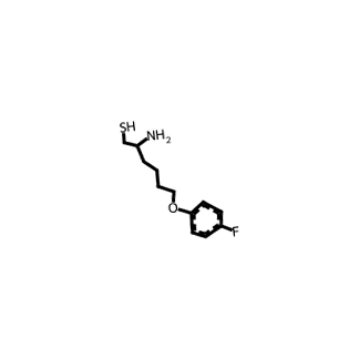 NC(CS)CCCCOc1ccc(F)cc1